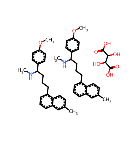 CNC(CCCc1cccc2cc(C)ccc12)c1ccc(OC)cc1.CNC(CCCc1cccc2cc(C)ccc12)c1ccc(OC)cc1.O=C(O)C(O)C(O)C(=O)O